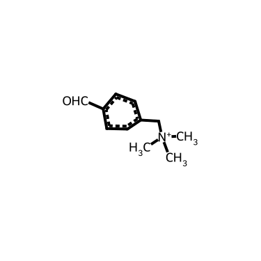 C[N+](C)(C)Cc1ccc(C=O)cc1